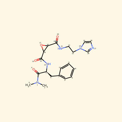 CN(C)C(=O)[C@H](Cc1ccccc1)NC(=O)C1OC1C(=O)NCCn1ccnc1